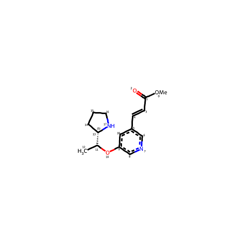 COC(=O)C=Cc1cncc(OC(C)[C@@H]2CCCN2)c1